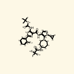 CC(C)(C)OC(=O)Nc1sc(-c2ccccc2F)nc1C(=O)Nc1cnn(C2CC2)c1N1CCC[C@@H](NC(=O)C(F)(F)F)CC1